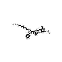 CCCCCCCCCCCCCCCCCCOC[C@H](COP1(=O)CO[C@@H](Cn2ccc(N)nc2=O)CO1)OCc1ccccc1